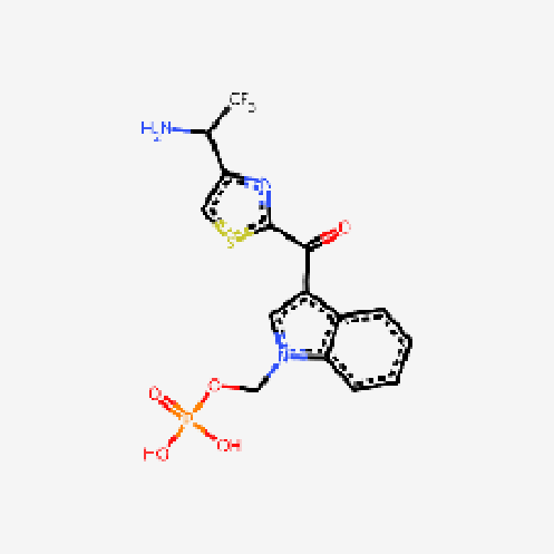 NC(c1csc(C(=O)c2cn(COP(=O)(O)O)c3ccccc23)n1)C(F)(F)F